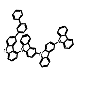 c1cc2c3cc(-n4c5ccccc5c5cc(-n6c7ccccc7c7ccccc76)ccc54)ccc3n(-c3cccc4oc5ccc(-c6cccc(-c7ccccc7)c6)cc5c34)c2cc#1